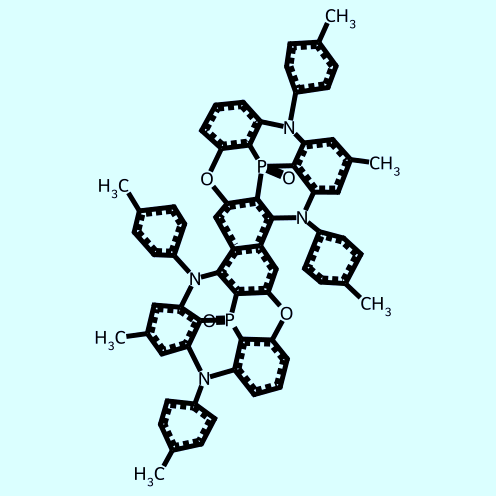 Cc1ccc(N2c3cccc4c3P3(=O)c5c2cc(C)cc5N(c2ccc(C)cc2)c2c3c(cc3c5c6c(cc23)Oc2cccc3c2P6(=O)c2c(cc(C)cc2N5c2ccc(C)cc2)N3c2ccc(C)cc2)O4)cc1